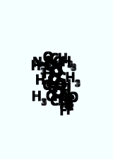 CC1(C)C[C@H]2[C@H](CC[C@]3(C)[C@@H]2C(=O)C[C@@H]2[C@@]4(C)C=C(C#N)C(=O)C(C)(C)[C@@H]4CC[C@]23C)[C@H](NS(=O)(=O)CC(F)(F)F)C1